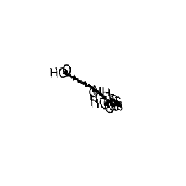 O=C(O)CCCCCCCCCCCCCCC(=O)NCCCC[C@@H](C(=O)O)C1SSC2(SS1)SS2